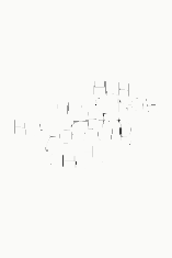 C=CC(C)OCC(C)(C)C(C)(C)C(=O)NO